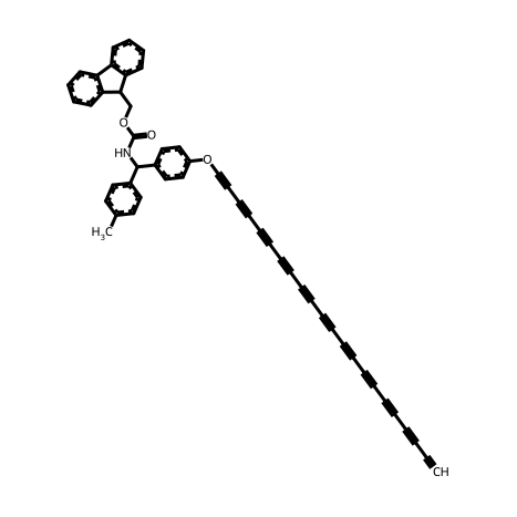 C#CC#CC#CC#CC#CC#CC#CC#CC#CC#CC#COc1ccc(C(NC(=O)OCC2c3ccccc3-c3ccccc32)c2ccc(C)cc2)cc1